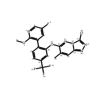 COc1ncc(F)cc1-c1ccc(C(F)(F)F)cc1Oc1nn2c(Cl)nnc2cc1C